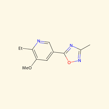 CCc1ncc(-c2nc(C)no2)cc1OC